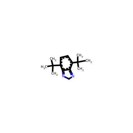 CC(C)(C)c1ccc(C(C)(C)C)c2c1=NCN=2